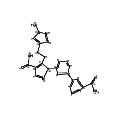 CC(=O)c1cccc(-c2cccc(-n3ncc(C(=O)O)c3CCc3cn(C)nn3)c2)c1